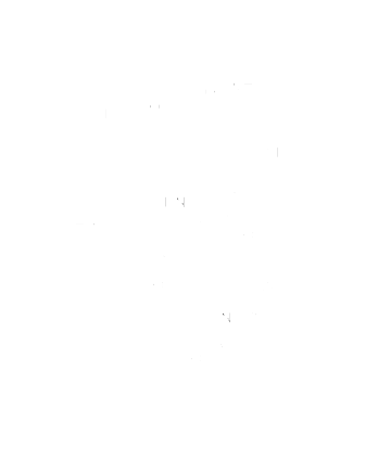 CCOC(=O)/C(CCN1C(=O)c2ccccc2C1=O)=C(\Nc1ccc(OC)c(OC)c1)C(=O)OCC